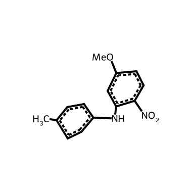 COc1ccc([N+](=O)[O-])c(Nc2ccc(C)cc2)c1